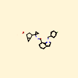 O=C(NC1(C2C[C@H](C(=O)O)C3CC32)CC1)c1cccc2ccn(Cc3ccc(Cl)cc3)c12